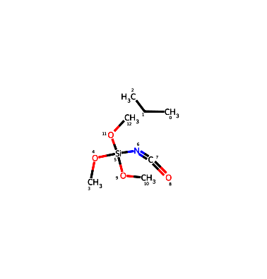 CCC.CO[Si](N=C=O)(OC)OC